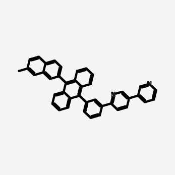 Cc1ccc2ccc(-c3c4ccccc4c(-c4cccc(-c5ccc(-c6cccnc6)cn5)c4)c4ccccc34)cc2c1